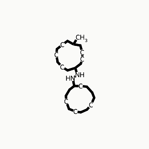 CC1CCCCCCCC(NNC2CCCCCCCCCCCC2)CCCC1